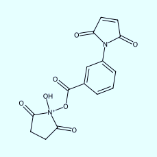 O=C(O[N+]1(O)C(=O)CCC1=O)c1cccc(N2C(=O)C=CC2=O)c1